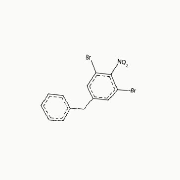 O=[N+]([O-])c1c(Br)cc(Cc2ccccc2)cc1Br